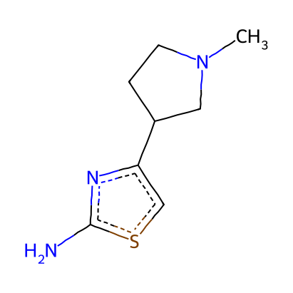 CN1CCC(c2csc(N)n2)C1